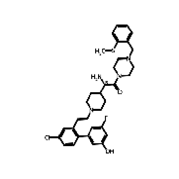 CSc1ccccc1CN1CCN(C(=O)[C@H](N)C2CCN(CCc3cc(Cl)ccc3-c3cc(O)cc(F)c3)CC2)CC1